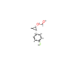 O=[C]O[C@H]1C[C@H]1c1ccc(F)cc1